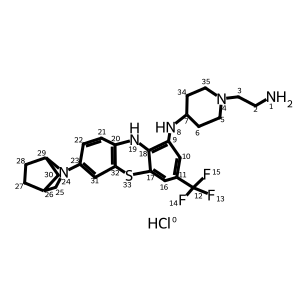 Cl.NCCN1CCC(Nc2cc(C(F)(F)F)cc3c2Nc2ccc(N4CC5CCC4C5)cc2S3)CC1